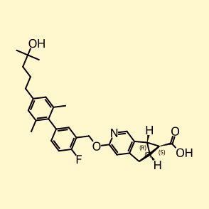 Cc1cc(CCCC(C)(C)O)cc(C)c1-c1ccc(F)c(COc2cc3c(cn2)[C@H]2[C@H]4C3[C@@]42C(=O)O)c1